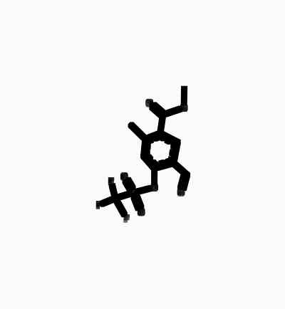 COC(=O)c1cc(C=O)c(OS(=O)(=O)C(F)(F)F)cc1C